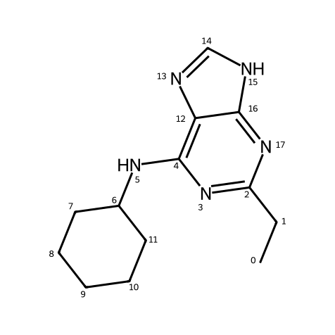 CCc1nc(NC2CCCCC2)c2nc[nH]c2n1